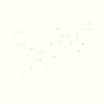 COC(=O)C1CC2(CN1C(=O)C(NC(=O)[C@@H](NC(=O)c1cnccn1)C1CCCCC1)C(C)(C)C)SCC(=O)N2CC1CC1